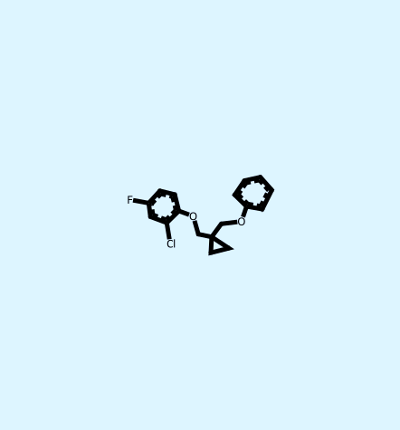 Fc1ccc(OCC2(COc3[c]cccc3)CC2)c(Cl)c1